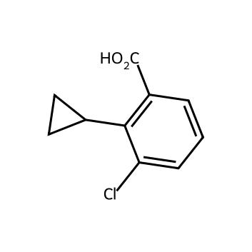 O=C(O)c1cccc(Cl)c1C1CC1